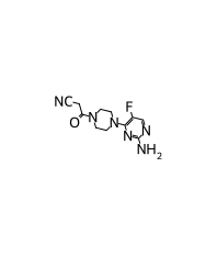 N#CCC(=O)N1CCN(c2nc(N)ncc2F)CC1